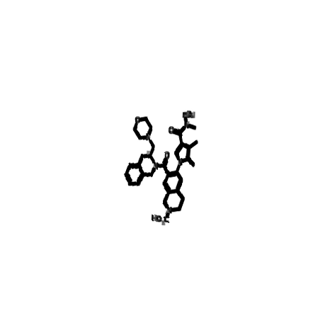 CCCCN(C)C(=O)c1cn(-c2cc3c(cc2C(=O)N2Cc4ccccc4C[C@H]2CN2CCOCC2)CN(C(=O)O)CC3)c(C)c1C